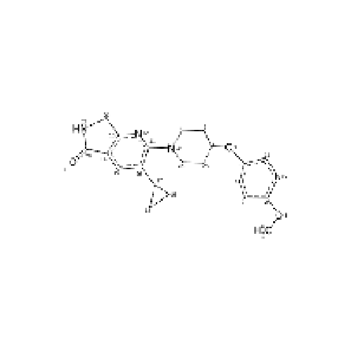 COc1ccc(OC2CCN(c3nc4c(cc3C3CC3)C(=O)NC4)CC2)cn1